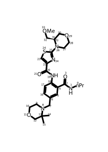 CCCNC(=O)c1cc(CN2CCOCC2(C)C)ccc1NC(=O)c1csc(N2CCOC[C@@H]2COC)n1